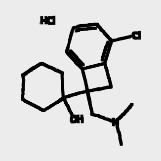 CN(C)CC1(C2(O)CCCCC2)Cc2c(Cl)cccc21.Cl